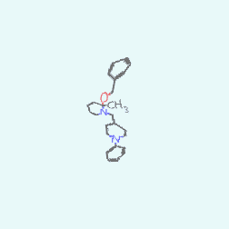 CC1(OCc2ccccc2)CCCCN1CC1CCN(c2ccccc2)CC1